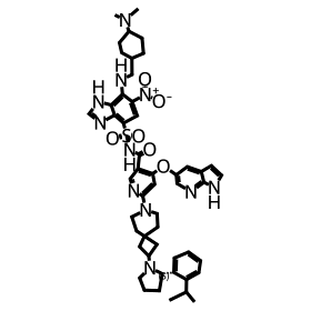 CC(C)c1ccccc1[C@@H]1CCCN1C1CC2(CCN(c3cc(Oc4cnc5[nH]ccc5c4)c(C(=O)NS(=O)(=O)c4cc([N+](=O)[O-])c(NCC5CCC(N(C)C)CC5)c5[nH]cnc45)cn3)CC2)C1